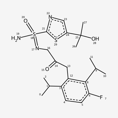 CC(C)c1ccc(F)c(C(C)C)c1CC(=O)CN=S(N)(=O)c1ncc(C(C)(C)O)s1